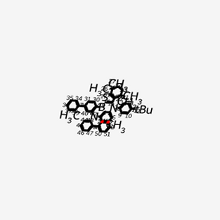 Cc1cc2c3c(c1)N(c1ccc(C(C)(C)C)cc1)c1c(sc4c1C(C)(C)CCC4(C)C)B3c1ccc(-c3ccccc3C)cc1N2c1ccccc1-c1ccccc1